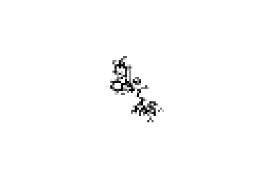 C=C/C(=C\C=C(/C)S(=O)(=O)Nc1ccccc1N1CCN(C)CC1)S(=O)(=O)N(C)C